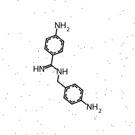 N=C(NCc1ccc(N)cc1)c1ccc(N)cc1